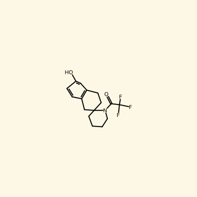 O=C(N1CCCCC12CCc1cc(O)ccc1C2)C(F)(F)F